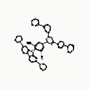 N#Cc1cc(-c2nc(-c3ccc(-c4ccccc4)cc3)nc(-c3cccc(-c4ccccc4)c3)n2)cc(C#N)c1-n1c2cc(-c3ccccc3)ccc2c2ccc(-c3ccccc3)cc21